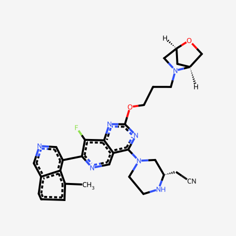 Cc1cccc2cncc(-c3ncc4c(N5CCN[C@@H](CC#N)C5)nc(OCCCN5C[C@@H]6C[C@H]5CO6)nc4c3F)c12